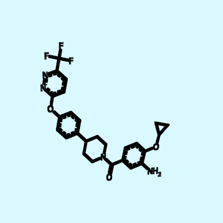 Nc1cc(C(=O)N2CCC(c3ccc(Oc4ccc(C(F)(F)F)nn4)cc3)CC2)ccc1OC1CC1